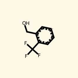 OCc1c[c]ccc1C(F)(F)F